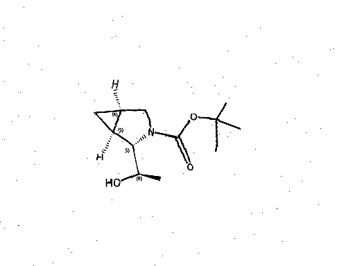 C[C@@H](O)[C@@H]1[C@H]2C[C@H]2CN1C(=O)OC(C)(C)C